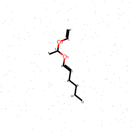 C=COC(C)OC=CCCCC